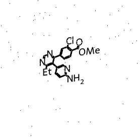 CCc1ncnc(-c2ccc(C(=O)OC)c(Cl)c2)c1-c1ccc(N)nc1